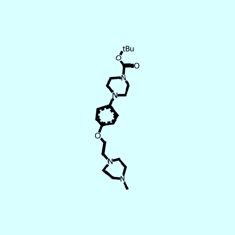 CN1CCN(CCOc2ccc(N3CCN(C(=O)OC(C)(C)C)CC3)cc2)CC1